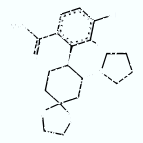 CNC(=O)c1ccc(Cl)c(Cl)c1[C@@H]1CCC2(C[C@H]1N1CCCC1)OCCO2